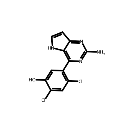 Nc1nc(-c2cc(O)c(Cl)cc2Cl)c2[nH]ccc2n1